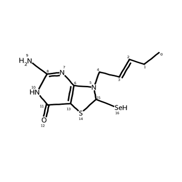 CCC=CCN1c2nc(N)[nH]c(=O)c2SC1[SeH]